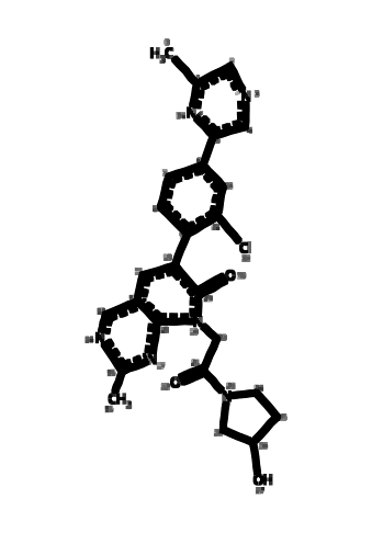 Cc1cncc(-c2ccc(-c3cc4cnc(C)nc4n(CC(=O)N4CCC(O)C4)c3=O)c(Cl)c2)n1